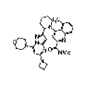 CNC(=O)c1nc(N2CCCCC2c2cc3nc(N4CCC4)cc(N4CCOCC4)n3n2)c2c(C)cccc2n1